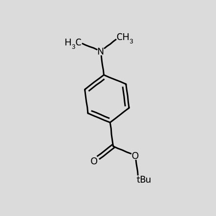 CN(C)c1ccc(C(=O)OC(C)(C)C)cc1